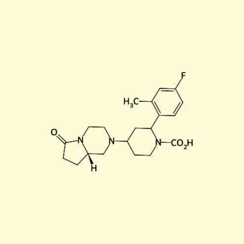 Cc1cc(F)ccc1C1CC(N2CCN3C(=O)CC[C@H]3C2)CCN1C(=O)O